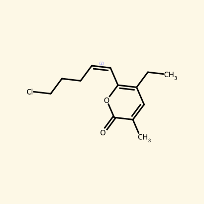 CCc1cc(C)c(=O)oc1/C=C\CCCCl